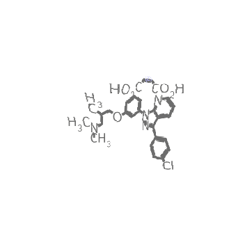 CC(COc1cccc(-n2nc(-c3ccc(Cl)cc3)c3cccnc32)c1)CN(C)C.O=C(O)/C=C\C(=O)O